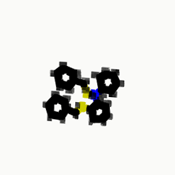 c1ccc(CSc2ccccc2N(SCc2ccccc2)c2ccccc2)cc1